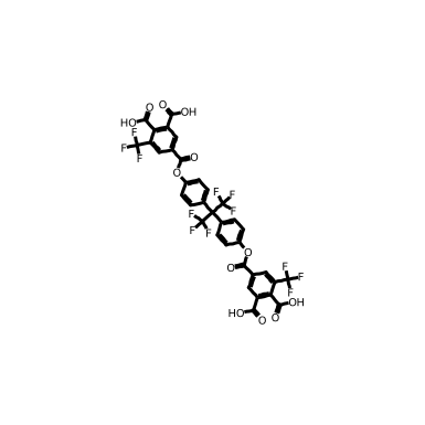 O=C(Oc1ccc(C(c2ccc(OC(=O)c3cc(C(=O)O)c(C(=O)O)c(C(F)(F)F)c3)cc2)(C(F)(F)F)C(F)(F)F)cc1)c1cc(C(=O)O)c(C(=O)O)c(C(F)(F)F)c1